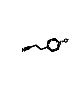 N#CCCc1cc[n+]([O-])cc1